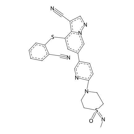 CN=S1(=O)CCN(c2ccc(-c3cc(Sc4ccccc4C#N)c4c(C#N)cnn4c3)cn2)CC1